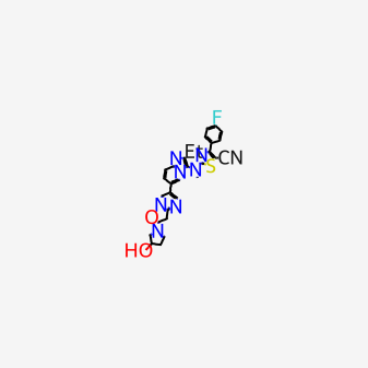 CCc1nc2ccc(-c3cnc(CC(=O)N4CCC(O)C4)nc3)cn2c1N(C)c1nc(-c2ccc(F)cc2)c(C#N)s1